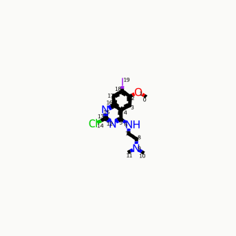 COc1cc2c(NCCN(C)C)nc(Cl)nc2cc1I